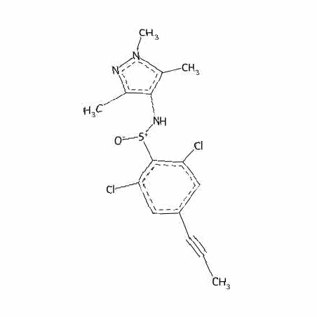 CC#Cc1cc(Cl)c([S+]([O-])Nc2c(C)nn(C)c2C)c(Cl)c1